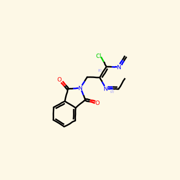 C=N/C(Cl)=C(CN1C(=O)c2ccccc2C1=O)\N=C/C